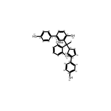 COc1cccc(OC)c1C(C)(c1cc(-c2ccc(S)cc2)ccc1S)C1C=CC(c2ccc(S)cc2)=C1